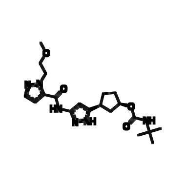 COCCn1nccc1C(=O)Nc1cc([C@H]2CC[C@@H](OC(=O)NC(C)(C)C)C2)[nH]n1